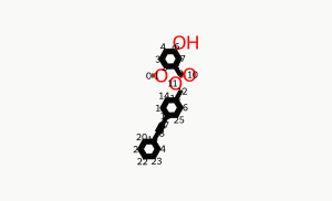 COc1ccc(O)cc1C(=O)OCc1ccc(C#Cc2ccccc2)cc1